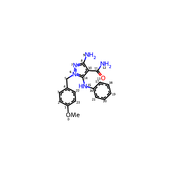 COc1ccc(Cn2nc(N)c(C(N)=O)c2Nc2ccccc2)cc1